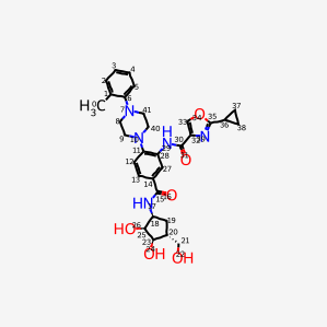 Cc1ccccc1N1CCN(c2ccc(C(=O)N[C@H]3C[C@H](CO)[C@@H](O)[C@H]3O)cc2NC(=O)c2coc(C3CC3)n2)CC1